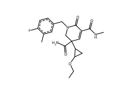 CCOC1CC1C1(C(N)=O)C=C(C(=O)NC)C(=O)N(Cc2ccc(F)c(C)c2)C1